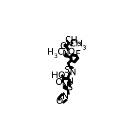 CN(C)C(=O)C(=O)N(C)Cc1cc(F)ccc1Cc1cnc(-c2nc3sc(CN4CCOCC4)cn3c(=O)c2O)s1